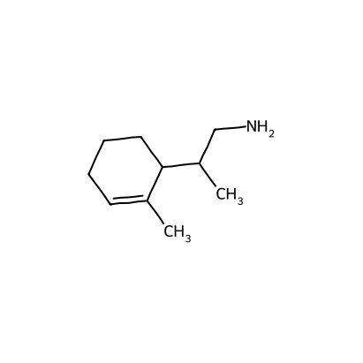 CC1=CCCCC1C(C)CN